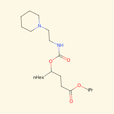 [CH2]C([CH2])OC(=O)CCC(CCCCCC)OC(=O)NCCN1CCCCC1